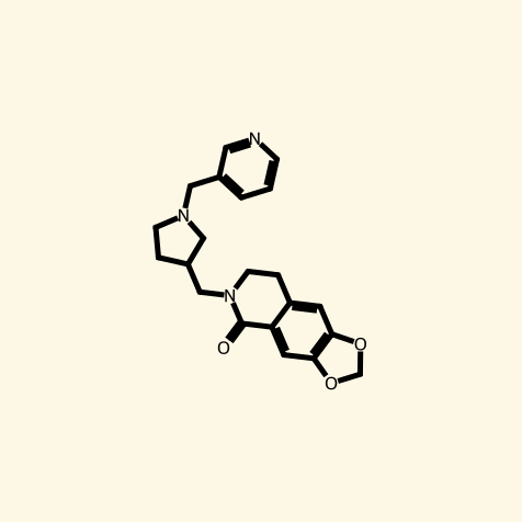 O=C1c2cc3c(cc2CCN1CC1CCN(Cc2cccnc2)C1)OCO3